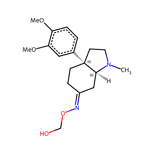 COc1ccc([C@@]23CCC(=NOCO)C[C@@H]2N(C)CC3)cc1OC